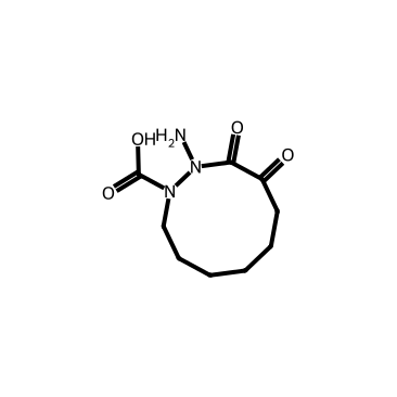 NN1C(=O)C(=O)CCCCCCN1C(=O)O